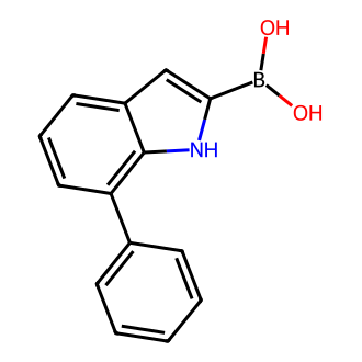 OB(O)c1cc2cccc(-c3ccccc3)c2[nH]1